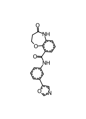 O=C1CCOc2c(cccc2C(=O)Nc2cccc(-c3cnco3)c2)N1